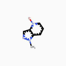 Cn1ncc2c1ccc[n+]2[O-]